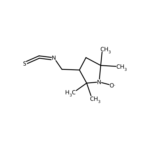 CC1(C)CC(CN=C=S)C(C)(C)N1[O]